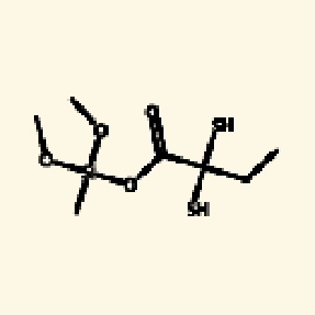 CCC(S)(S)C(=O)O[Si](C)(OC)OC